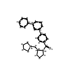 O=C(c1ccc(-c2cccc(-c3ccccc3)c2)cc1)N1CCC[C@H]1CN1CCCC1